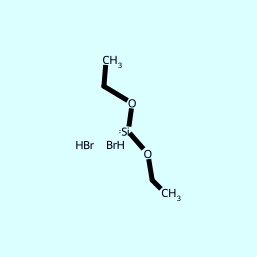 Br.Br.CCO[Si]OCC